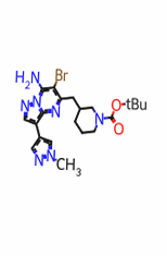 Cn1cc(-c2cnn3c(N)c(Br)c(CC4CCCN(C(=O)OC(C)(C)C)C4)nc23)cn1